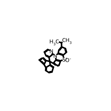 CC(C)c1ccc2c(c1)N1c3ncccc3C3(c4ccccc4-c4ccccc43)c3cccc(c31)[S+]2[O-]